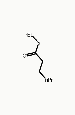 C[CH]SC(=O)CCCCC